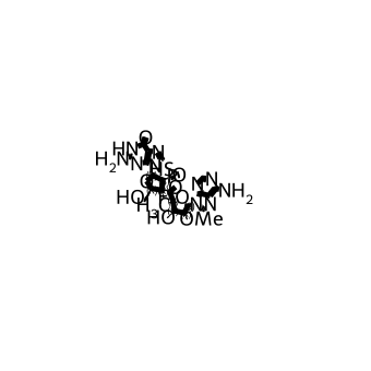 CO[C@H]1[C@@H](n2cnc3c(N)ncnc32)O[C@](C)(COP(=O)(S)[C@@H]2[C@H](F)[C@@H](CO)O[C@H]2n2cnc3c(=O)[nH]c(N)nc32)[C@H]1O